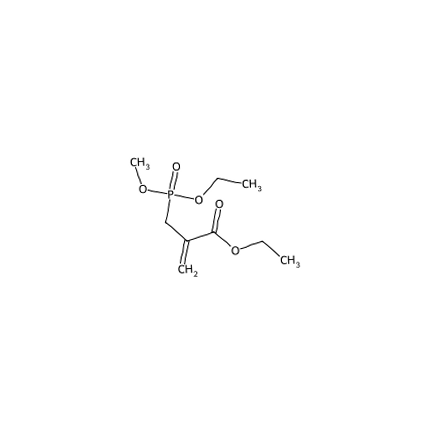 C=C(CP(=O)(OC)OCC)C(=O)OCC